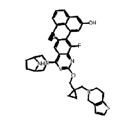 C#Cc1cccc2cc(O)cc(-c3c(Cl)cc4c(N5CC6CCC(C5)N6)nc(OCC5(CN6CCc7sccc7C6)CC5)nc4c3F)c12